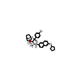 CN(C(C(=O)N1C2CCC1CC(N)C2)C(F)(F)c1ccc(Br)cc1)S(=O)(=O)c1ccc2cc(OC3CCCC3)ccc2c1